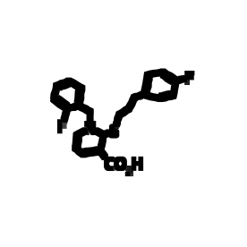 O=C(O)C1=CC=CN(Cc2ccccc2F)C1SCCCc1ccc(F)cc1